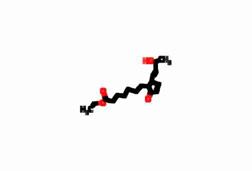 CCOC(=O)CCCCCCC1C(=O)C=CC1C=CC(C)O